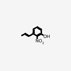 C/C=C/c1cccc(O)c1[N+](=O)[O-]